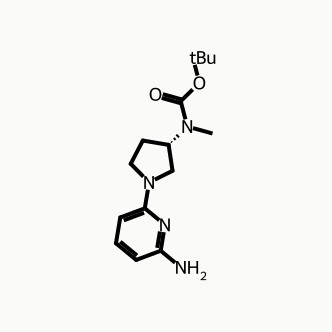 CN(C(=O)OC(C)(C)C)[C@H]1CCN(c2cccc(N)n2)C1